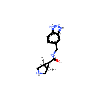 O=C(NCc1ccc2[nH]nnc2c1)C1[C@H]2CNC[C@@H]12